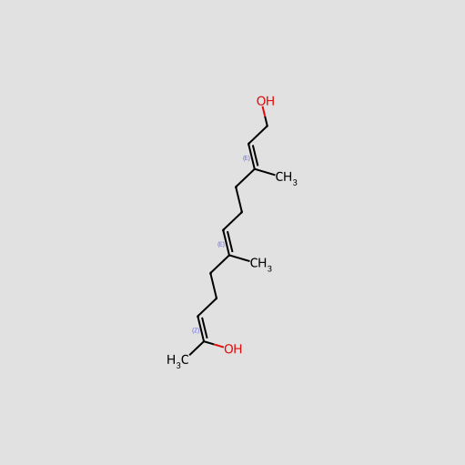 C/C(O)=C/CC/C(C)=C/CC/C(C)=C/CO